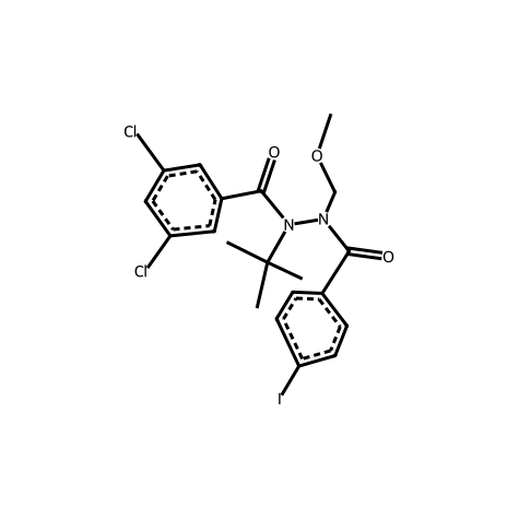 COCN(C(=O)c1ccc(I)cc1)N(C(=O)c1cc(Cl)cc(Cl)c1)C(C)(C)C